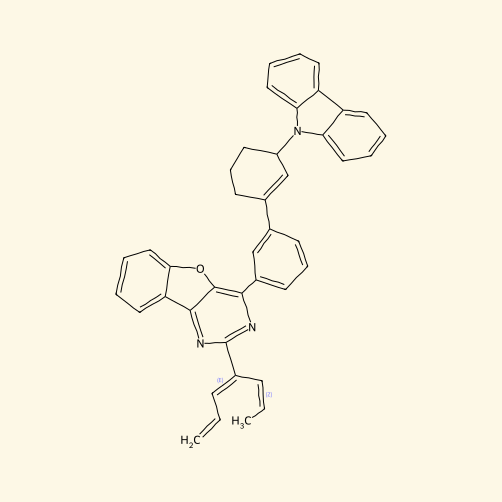 C=C/C=C(\C=C/C)c1nc(-c2cccc(C3=CC(n4c5ccccc5c5ccccc54)CCC3)c2)c2oc3ccccc3c2n1